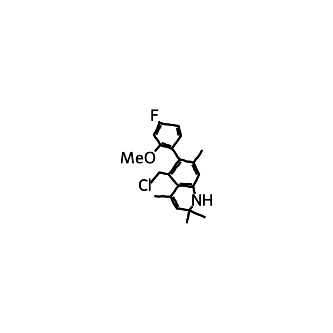 COc1cc(F)ccc1-c1c(C)cc2c(c1CCl)C(C)=CC(C)(C)N2